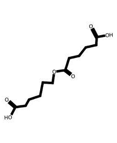 O=C(O)CCCCCOC(=O)CCCCC(=O)O